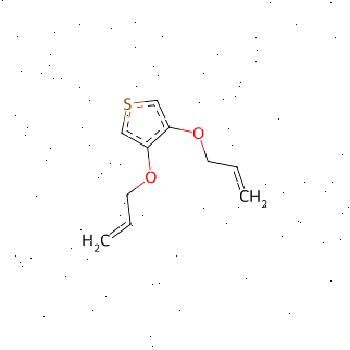 C=CCOc1cscc1OCC=C